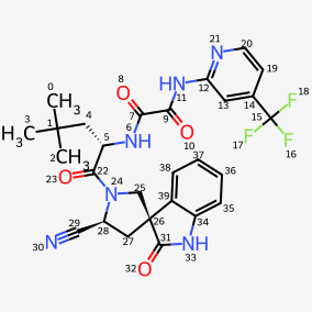 CC(C)(C)C[C@H](NC(=O)C(=O)Nc1cc(C(F)(F)F)ccn1)C(=O)N1C[C@]2(C[C@H]1C#N)C(=O)Nc1ccccc12